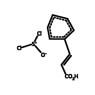 O=C(O)C=Cc1ccccc1.[O-][S+](Cl)Cl